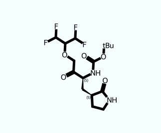 CC(C)(C)OC(=O)N[C@@H](C[C@@H]1CCNC1=O)C(=O)COC(C(F)F)C(F)F